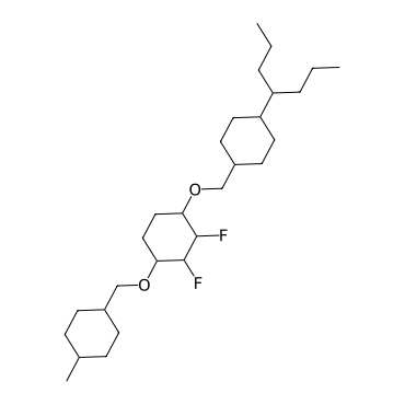 CCCC(CCC)C1CCC(COC2CCC(OCC3CCC(C)CC3)C(F)C2F)CC1